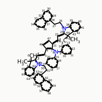 CC1(C)C(/C=C/C2=C(N(c3ccccc3)c3ccccc3)C(=C/C=C3/N(CCc4cccc5ccccc45)c4ccccc4C3(C)C)/C=C2)=[N+](CCc2cccc3ccccc23)c2ccccc21